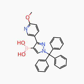 COc1ccc(-c2nn(C(c3ccccc3)(c3ccccc3)c3ccccc3)cc2B(O)O)cn1